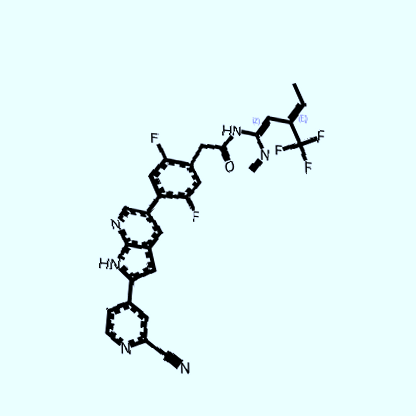 C=N/C(=C\C(=C/C)C(F)(F)F)NC(=O)Cc1cc(F)c(-c2cnc3[nH]c(-c4ccnc(C#N)c4)cc3c2)cc1F